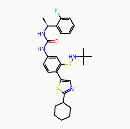 C[C@H](NC(=O)Nc1ccc(-c2cnc(C3CCCCC3)s2)c(SNC(C)(C)C)c1)c1ccccc1F